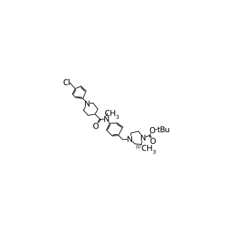 C[C@H]1CN(Cc2ccc(N(C)C(=O)C3CCN(c4ccc(Cl)cc4)CC3)cc2)CCN1C(=O)OC(C)(C)C